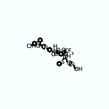 O=C(NS(=O)(=O)c1ccc(NC(CCN2CCN(CCO)CC2)CSc2ccccc2)c(S(=O)(=O)C(F)(F)F)c1)c1ccc(N2CCC([C@@H](O)c3ccccc3-c3ccc(Cl)cc3)CC2)cc1